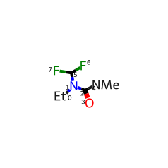 CCN(C(=O)NC)C(F)F